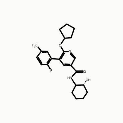 O=C(NC1CCCC[C@H]1O)c1cnc(OC2CCCC2)c(-c2cc(C(F)(F)F)ccc2F)c1